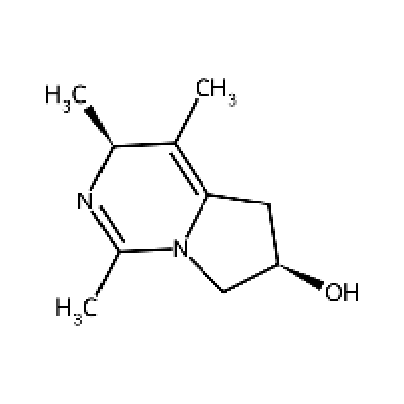 CC1=N[C@@H](C)C(C)=C2C[C@@H](O)CN12